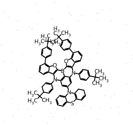 CC(C)(C)c1ccc(-c2cccc3c4c(oc23)B2c3oc5c(-c6ccc(C(C)(C)C)cc6)cccc5c3N(c3ccc(C(C)(C)C)cc3)c3cc(N5C6=C(C=CCC6)Sc6ccccc65)cc(c32)N4C2=CCC(C(C)(C)C)C=C2)cc1